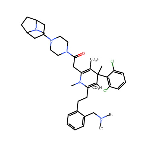 CCN(CC)Cc1ccccc1CCC1=C(C(=O)O)C(C)(c2c(Cl)cccc2Cl)C(C(=O)O)=C(CC(=O)N2CCN(C3CC4CCC(C3)N4C)CC2)N1C